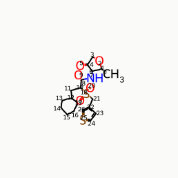 CC1OCC(=O)C1NC(=O)C(CC1CCCCC1)S(=O)(=O)Cc1ccsc1